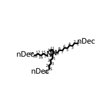 CCCCCCCCCCCCCCCCCCCn1cc[n+](CCCCCCCCCCCCCCC)c1CCCCCCCCCCCCCCC